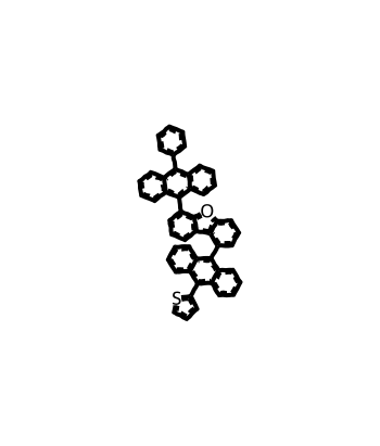 c1ccc(-c2c3ccccc3c(-c3cccc4c3oc3cccc(-c5c6ccccc6c(-c6cccs6)c6ccccc56)c34)c3ccccc23)cc1